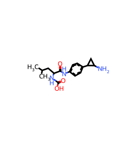 CC(C)CC(NC(=O)O)C(=O)Nc1ccc(C2CC2N)cc1